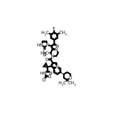 Cc1cc(-c2nn3c(c2N2C=CNC2=C=O)[C@H](C)N(C(=O)c2cn4cc([C@H]5CCOC(C)(C)C5)ccc4c2C2(c4noc(=O)[nH]4)CC2)CC3)cc(C)c1F